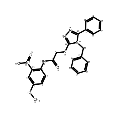 COc1ccc(NC(=O)CSc2nnc(-c3ccccc3)n2Cc2ccccc2)c([N+](=O)[O-])c1